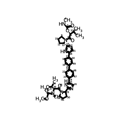 CNC(=O)O[C@H](C(=O)N1CCC[C@H]1c1ncc(-c2ccc(-c3ccc(-c4cnc(C5CCCN5C(=O)[C@H](C(C)C)N(C)C(=O)OC)[nH]4)cc3)cc2)[nH]1)C(C)C